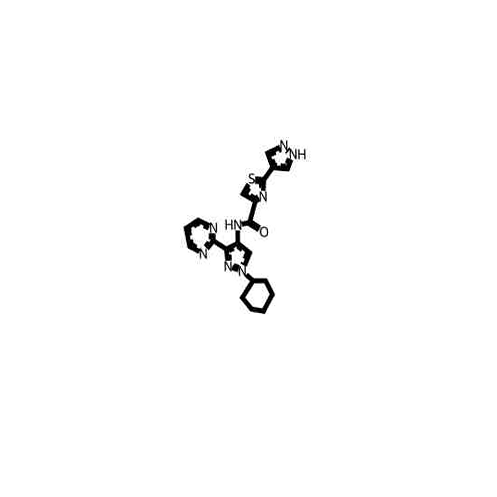 O=C(Nc1cn(C2CCCCC2)nc1-c1ncccn1)c1csc(-c2cn[nH]c2)n1